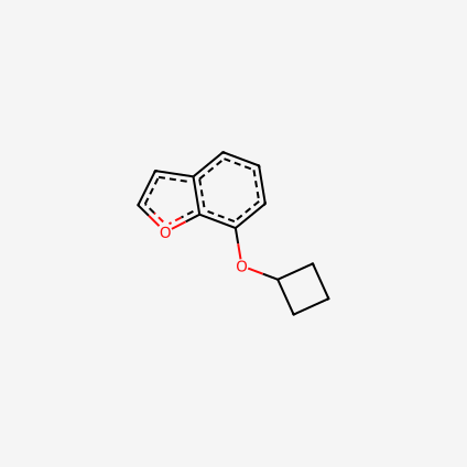 c1cc(OC2CCC2)c2occc2c1